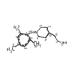 Cc1cc(C)c(SN2CCC(CCO)CC2)c(C)c1